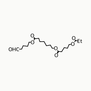 [CH2]CC(=O)OCCCCC(=O)OCCCCCCC(=O)OCCCCC=O